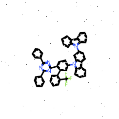 FC(F)(F)c1ccccc1-c1cc(-n2c3ccccc3c3ccc(-n4c5ccccc5c5ccccc54)cc32)ccc1-c1nc(-c2ccccc2)nc(-c2ccccc2)n1